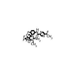 CCN1C(=O)[C@@H]2[C@@H](C(F)(F)F)OC[C@]2(c2cc(NC(=O)c3cnc(C(C)F)cn3)ccc2F)N=C1N